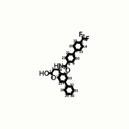 O=C(O)CC(NC(=O)c1ccc(-c2ccc(C(F)F)cc2)cc1)c1ccc(-c2ccccc2)cc1